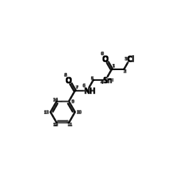 O=[C](CCl)[Sn][CH2]NC(=O)c1ccccc1